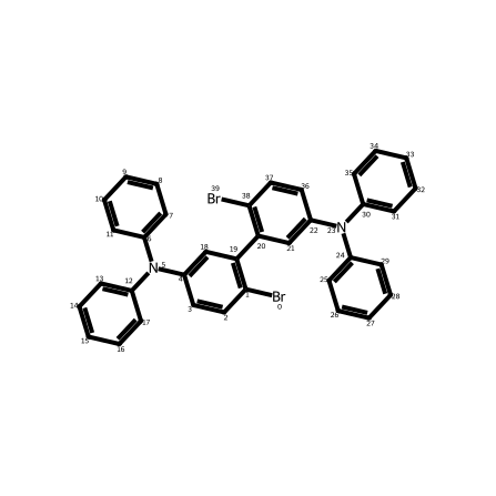 Brc1ccc(N(c2ccccc2)c2ccccc2)cc1-c1cc(N(c2ccccc2)c2ccccc2)ccc1Br